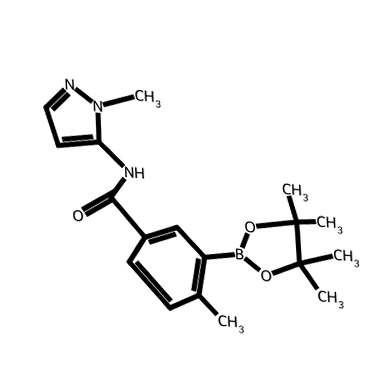 Cc1ccc(C(=O)Nc2ccnn2C)cc1B1OC(C)(C)C(C)(C)O1